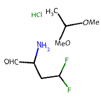 COC(C)OC.Cl.NC(C=O)CC(F)F